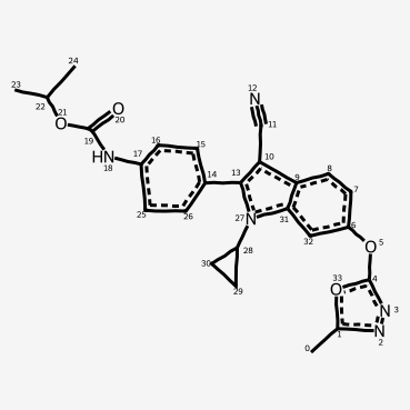 Cc1nnc(Oc2ccc3c(C#N)c(-c4ccc(NC(=O)OC(C)C)cc4)n(C4CC4)c3c2)o1